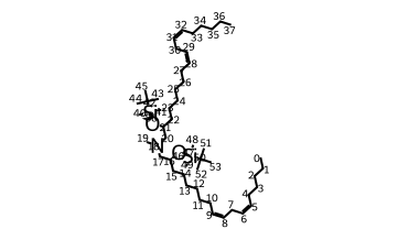 CCCCC/C=C\C/C=C\CCCCCCC(CN(C)CC(CCCCCC/C=C\C/C=C\CCCCC)O[Si](C)(C)C(C)(C)C)O[Si](C)(C)C(C)(C)C